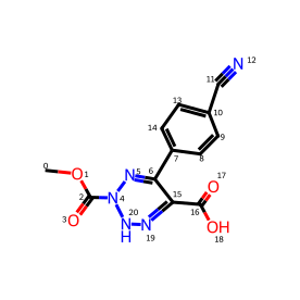 COC(=O)N1N=C(c2ccc(C#N)cc2)C(C(=O)O)=NN1